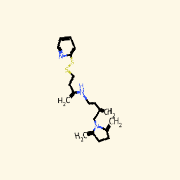 C=C(CCNC(=C)CCSSc1ccccn1)CN1C(=C)CCC1=C